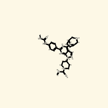 CNC(=O)Nc1ccc(-c2nc(N3C4CCC3COC4)c3cnn(C4CCN(C(=O)OC)CC4)c3n2)cc1